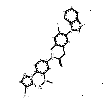 C=C(Cc1cc(-n2nnc3ccccc32)c(F)cc1C)Nc1ccc(-n2cc(C(F)(F)F)cn2)c(N(C)N)c1